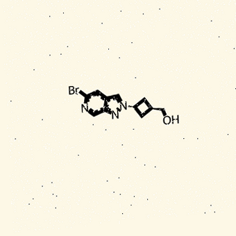 OC[C@H]1C[C@H](n2cc3cc(Br)ncc3n2)C1